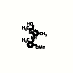 COCc1cccc(C)c1CNc1cc(C)cn2c(CO)c(C)nc12